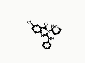 O=c1c2cc(Cl)ccc2nc(Nc2ccccc2)n1-c1cccnn1